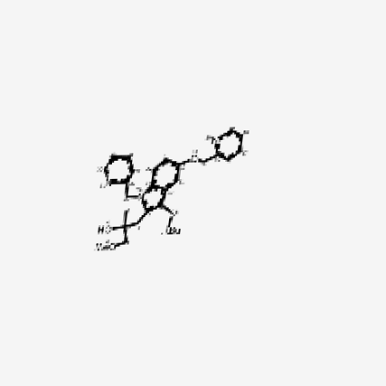 COCC(C)(O)Cc1c(SC(C)(C)C)c2cc(OCc3ccccn3)ccc2n1Cc1ccccn1